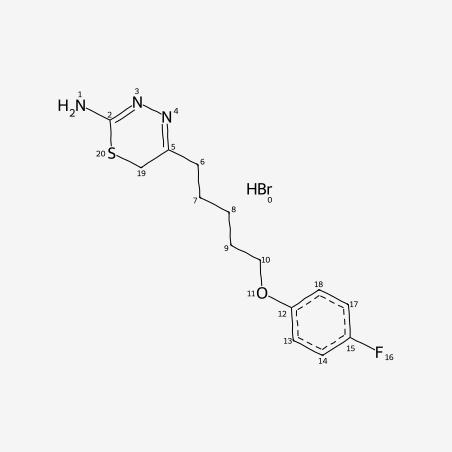 Br.NC1=NN=C(CCCCCOc2ccc(F)cc2)CS1